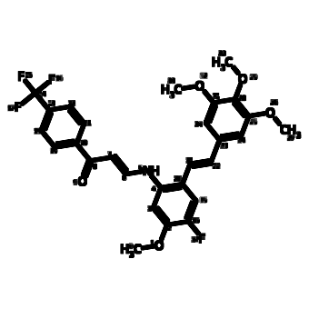 COc1cc(NC=CC(=O)c2ccc(C(F)(F)F)cc2)c(C=Cc2cc(OC)c(OC)c(OC)c2)cc1F